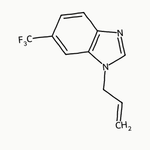 C=CCn1cnc2ccc(C(F)(F)F)cc21